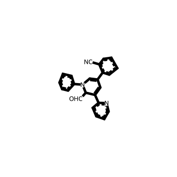 N#Cc1ccccc1C1=CN(c2ccccc2)C(C=O)C(c2ccccn2)=C1